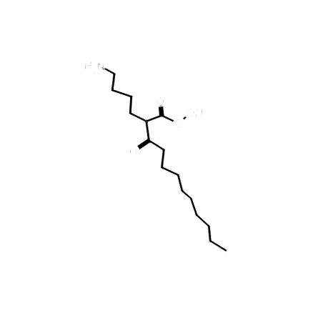 CCCCCCCCCC(=O)C(CCCCN)C(=O)OO